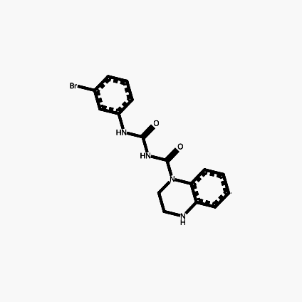 O=C(NC(=O)N1CCNc2c[c]ccc21)Nc1cccc(Br)c1